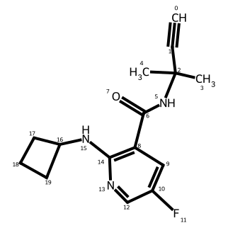 C#CC(C)(C)NC(=O)c1cc(F)cnc1NC1CCC1